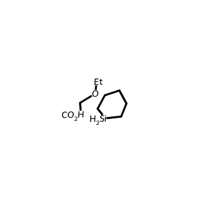 C1CC[SiH2]CC1.CCOCC(=O)O